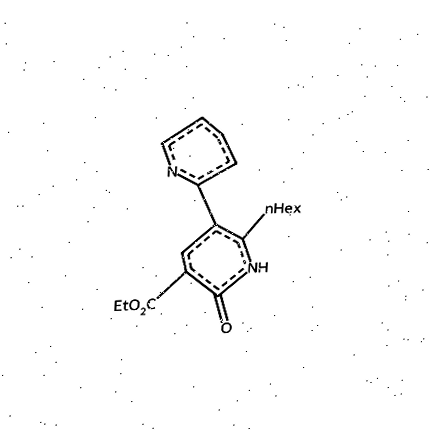 CCCCCCc1[nH]c(=O)c(C(=O)OCC)cc1-c1ccccn1